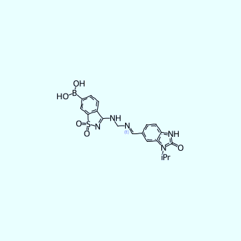 CC(C)n1c(=O)[nH]c2ccc(/C=N/CNC3=NS(=O)(=O)c4cc(B(O)O)ccc43)cc21